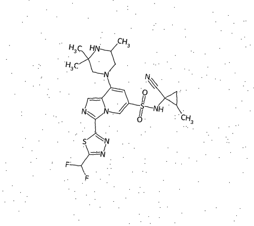 CC1CN(c2cc(S(=O)(=O)NC3(C#N)CC3C)cn3c(-c4nnc(C(F)F)s4)ncc23)CC(C)(C)N1